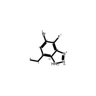 CCc1cc(Br)c(F)c2nn[nH]c12